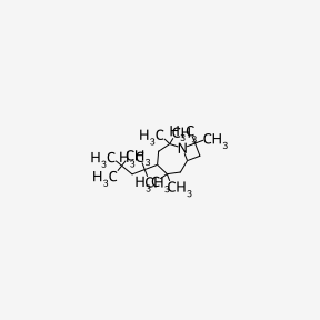 CC(C)(C)CC(C)(C)C1CC(C)(C)N2C(CC1(C)C)CC2(C)C